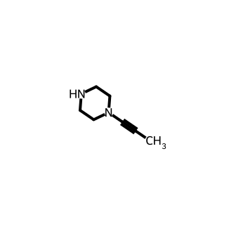 CC#CN1CCNCC1